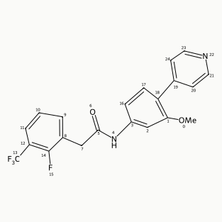 COc1cc(NC(=O)Cc2cccc(C(F)(F)F)c2F)ccc1-c1ccncc1